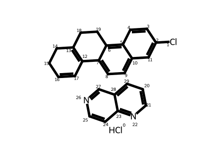 Cl.Clc1ccc2c3c(ccc2c1)C1=C(CCC=C1)CC3.c1cnc2ccncc2c1